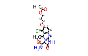 CC(=O)OCCCOc1ccc2c(c1Cl)C(C)N1C(=N2)NC(=O)C1C(N)=O